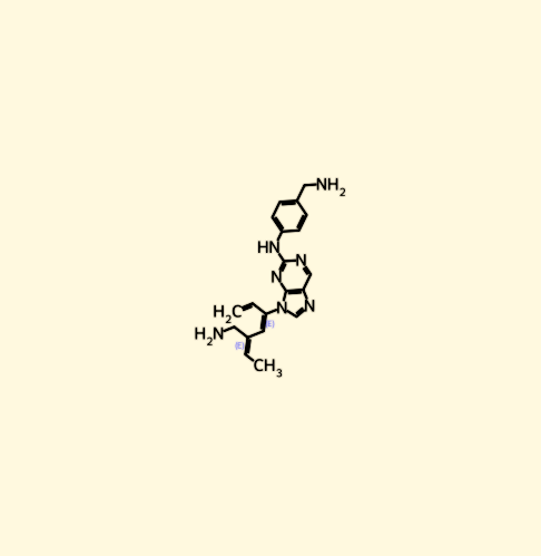 C=C/C(=C\C(=C/C)CN)n1cnc2cnc(Nc3ccc(CN)cc3)nc21